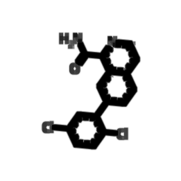 NC(=O)c1n[c]cc2ccc(-c3cc(Cl)ccc3Cl)cc12